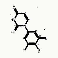 Cc1cc(-n2ccc(=O)[nH]c2=O)cc(C)c1Br